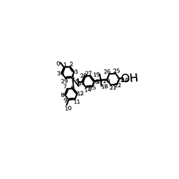 Cc1ccc(N(c2ccc(C)cc2)c2ccc(C(C)(C)C3CCC(O)CC3)cc2)cc1